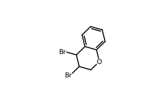 BrC1COc2ccccc2C1Br